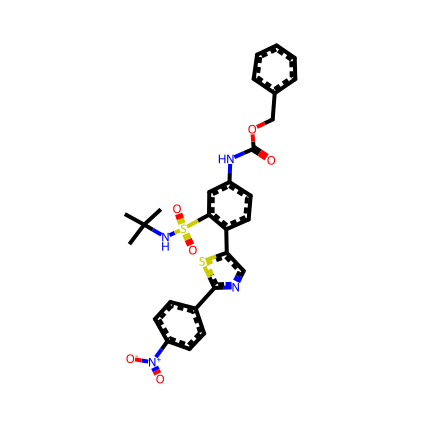 CC(C)(C)NS(=O)(=O)c1cc(NC(=O)OCc2ccccc2)ccc1-c1cnc(-c2ccc([N+](=O)[O-])cc2)s1